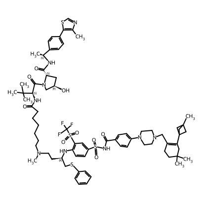 Cc1ncsc1-c1ccc([C@H](C)NC(=O)[C@@H]2C[C@@H](O)CN2C(=O)[C@@H](NC(=O)CCCCCCN(C)CC[C@H](CSc2ccccc2)Nc2ccc(S(=O)(=O)NC(=O)c3ccc(N4CCN(CC5=C(C67CC(C)(C6)C7)CC(C)(C)CC5)CC4)cc3)cc2S(=O)(=O)C(F)(F)F)C(C)(C)C)cc1